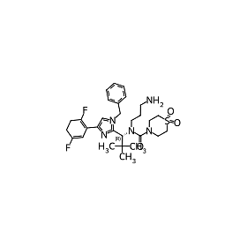 CC(C)(C)[C@H](c1nc(C2=C(F)CCC(F)=C2)cn1Cc1ccccc1)N(CCCN)C(=O)N1CCS(=O)(=O)CC1